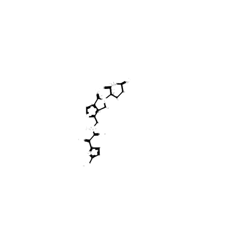 CC(C)c1ccc(C(=O)C(=O)NCc2scc3c2CN(C2CCC(=O)NC2=O)C3=O)s1